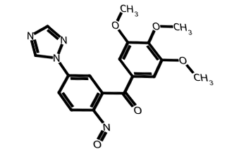 COc1cc(C(=O)c2cc(-n3cncn3)ccc2N=O)cc(OC)c1OC